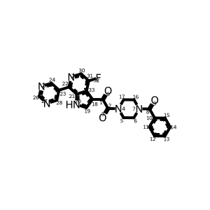 O=C(C(=O)N1CCN(C(=O)c2ccccc2)CC1)c1c[nH]c2c(-c3cncnc3)ncc(F)c12